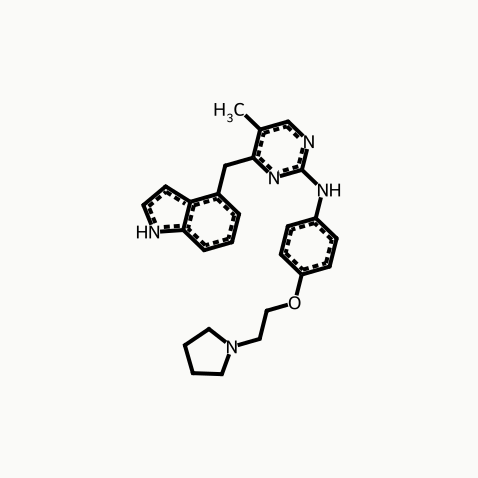 Cc1cnc(Nc2ccc(OCCN3CCCC3)cc2)nc1Cc1cccc2[nH]ccc12